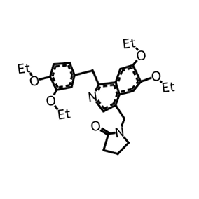 CCOc1ccc(Cc2ncc(CN3CCCC3=O)c3cc(OCC)c(OCC)cc23)cc1OCC